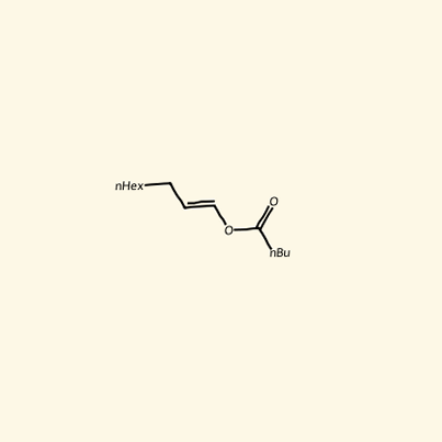 CCCCCCCC=COC(=O)CCCC